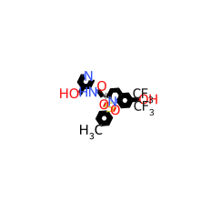 Cc1ccc(S(=O)(=O)N2c3ccc(C(O)(C(F)(F)F)C(F)(F)F)cc3CC[C@H]2CC(=O)Nc2cnccc2CO)cc1